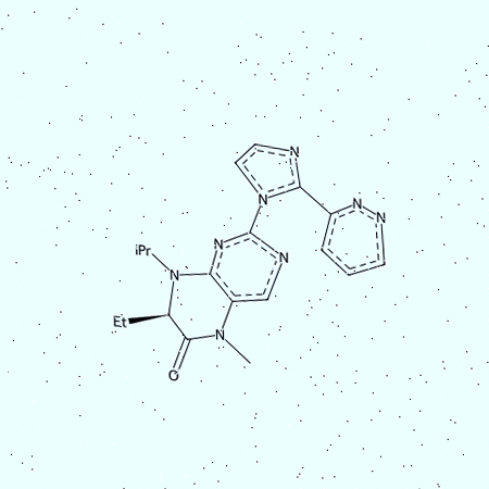 CC[C@@H]1C(=O)N(C)c2cnc(-n3ccnc3-c3cccnn3)nc2N1C(C)C